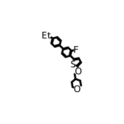 CCc1ccc(-c2ccc(-c3ccc(OCC4CCOCC4)s3)c(F)c2)cc1